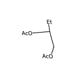 CCC(COC(C)=O)OC(C)=O